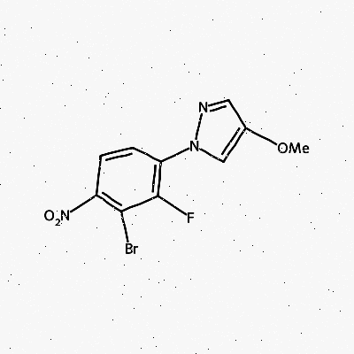 COc1cnn(-c2ccc([N+](=O)[O-])c(Br)c2F)c1